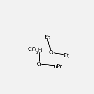 CCCOC(=O)O.CCOCC